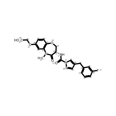 CN1C(=O)[C@@H](NC(=O)n2cc(Cc3cccc(F)c3)cn2)COc2ccc(OCC(=O)O)cc21